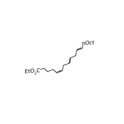 CCCCCCCCC=CCC=CC/C=C\CCCC(=O)OCC